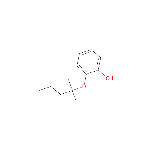 CCCC(C)(C)Oc1ccccc1O